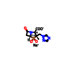 C[C@]1(Cn2cncn2)[C@H](C(=O)[O-])N2C(=O)C[C@@H]2S1(=O)=O.[Na+]